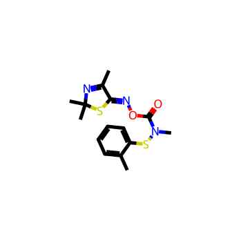 CC1=NC(C)(C)SC1=NOC(=O)N(C)Sc1ccccc1C